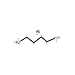 CCCCCCCO.[Al]